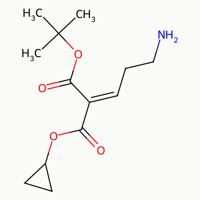 CC(C)(C)OC(=O)C(=CCCN)C(=O)OC1CC1